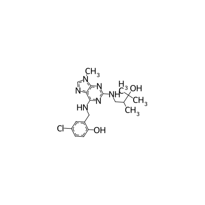 CC(CNc1nc(NCc2cc(Cl)ccc2O)c2ncn(C)c2n1)C(C)(C)O